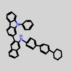 c1ccc(-n2c3ccccc3c3ccc(-c4cc5ccccc5cc4Nc4ccc(-c5ccc(C6CCCCC6)cc5)cc4)cc32)cc1